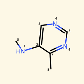 CNc1cncnc1C